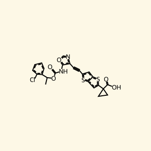 CC(OC(=O)Nc1ocnc1C#Cc1cc2sc(C3(C(=O)O)CC3)cc2s1)c1ccccc1Cl